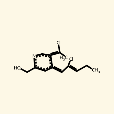 CC/C=C(Cl)/C=c1/cc(CO)nc/c1=C(/C)Cl